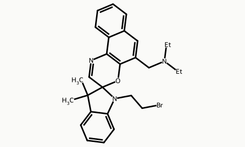 CCN(CC)Cc1cc2ccccc2c2c1OC1(C=N2)N(CCBr)c2ccccc2C1(C)C